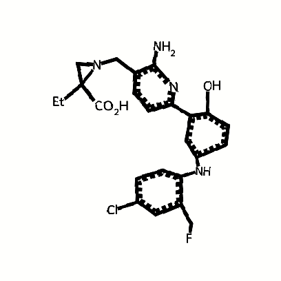 CCC1(C(=O)O)CN1Cc1ccc(-c2cc(Nc3ccc(Cl)cc3CF)ccc2O)nc1N